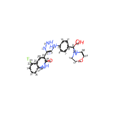 N=N/C(=C\Nc1ccc(C(O)N2CCOCC2)cc1)c1cc2c(F)cccc2[nH]c1=O